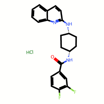 Cl.O=C(N[C@H]1CC[C@@H](Nc2ccc3ccccc3n2)CC1)c1ccc(F)c(F)c1